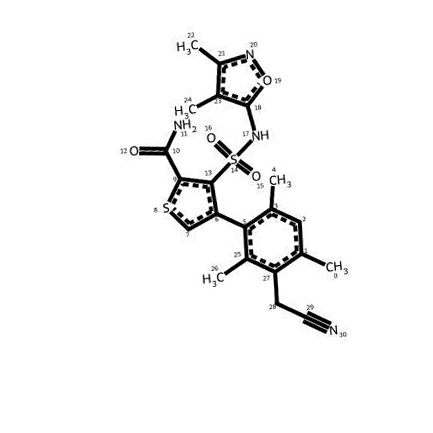 Cc1cc(C)c(-c2csc(C(N)=O)c2S(=O)(=O)Nc2onc(C)c2C)c(C)c1CC#N